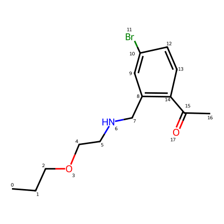 CCCOCCNCc1cc(Br)ccc1C(C)=O